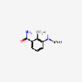 CCCCCNc1cccc(C(N)=O)c1C(=O)O